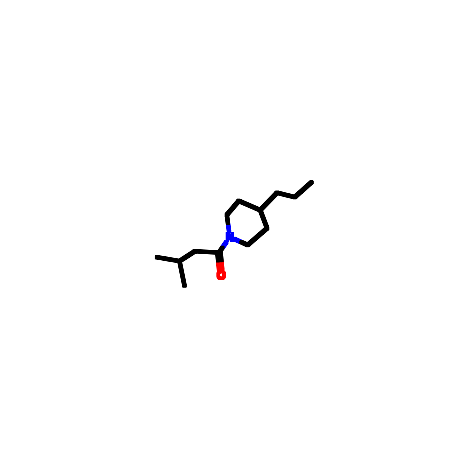 CCCC1CCN(C(=O)CC(C)C)CC1